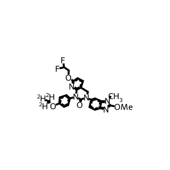 [2H]C([2H])([2H])Oc1ccc(N2C(=O)N(c3ccc4nc(OC)n(C)c4c3)Cc3ccc(OCC(F)F)nc32)cc1